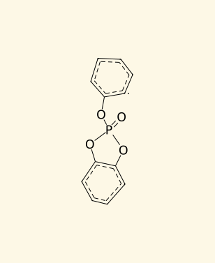 O=P1(Oc2[c]cccc2)Oc2ccccc2O1